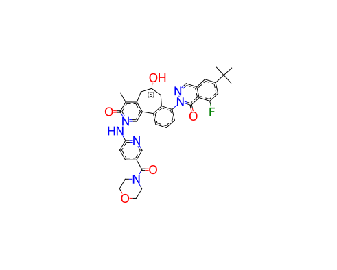 Cc1c2c(cn(Nc3ccc(C(=O)N4CCOCC4)cn3)c1=O)-c1cccc(-n3ncc4cc(C(C)(C)C)cc(F)c4c3=O)c1C[C@@H](O)C2